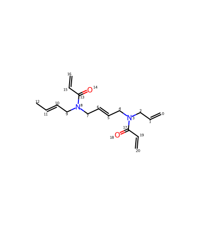 C=CCN(C/C=C/CN(C/C=C/C)C(=O)C=C)C(=O)C=C